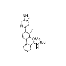 COc1c(-c2ccccc2SNC(C)(C)C)ccc(-c2cnc(N)cn2)c1F